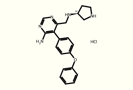 Cl.Nc1ncnc(CN[C@H]2CCNC2)c1-c1ccc(Oc2ccccc2)cc1